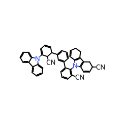 N#Cc1cccc(-c2cccc(C3C=CC=C(n4c5ccccc5c5ccccc54)C3C#N)c2)c1-n1c2c(c3c1C=CC(C#N)C3)CCC=C2